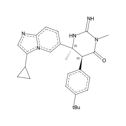 CN1C(=N)N[C@](C)(c2ccc3ncc(C4CC4)n3c2)[C@H](c2ccc(C(C)(C)C)cc2)C1=O